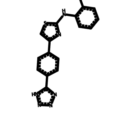 CSc1ccccc1Nc1nc(-c2ccc(-c3nnn[nH]3)cc2)cs1